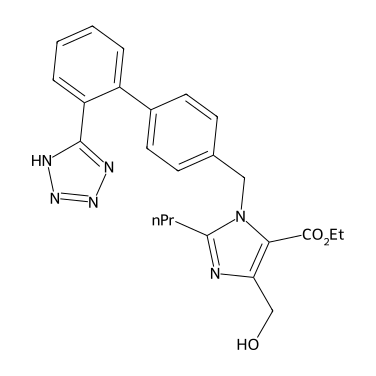 CCCc1nc(CO)c(C(=O)OCC)n1Cc1ccc(-c2ccccc2-c2nnn[nH]2)cc1